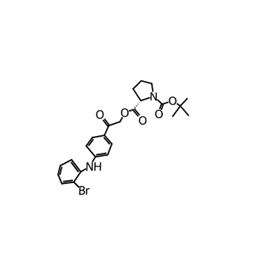 CC(C)(C)OC(=O)N1CCC[C@H]1C(=O)OCC(=O)c1ccc(Nc2ccccc2Br)cc1